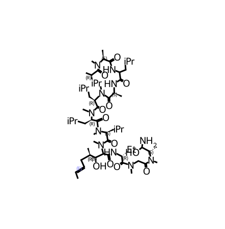 C/C=C/C[C@@H](C)[C@H](O)C(C(=O)N[C@H](CC)C(=O)N(C)CC(=O)N(C)[C@@H](C)C(N)O)N(C)C(=O)[C@H](C(C)C)N(C)C(=O)[C@@H](CC(C)C)N(C)C(=O)[C@@H](CC(C)C)N(C)C(=O)[C@H](C)NC(=O)C(CC(C)C)NC(=O)[C@H](C)N(C)C(=O)[C@H](C)C(C)C